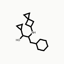 OC(C1CC1)C(CC1CCCCC1)NC1CC2(CC2)C1